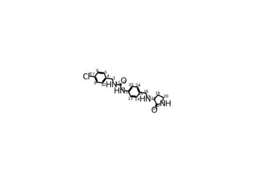 O=C(NCc1ccc(Cl)cc1)Nc1ccc(CN[C@@H]2CCNC2=O)cc1